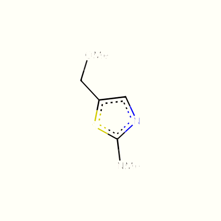 CNc1ncc(COC)s1